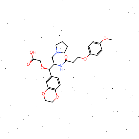 COc1ccc(OCCC(=O)N[C@H](CN2CCCC2)[C@H](OCC(=O)O)c2ccc3c(c2)OCCO3)cc1